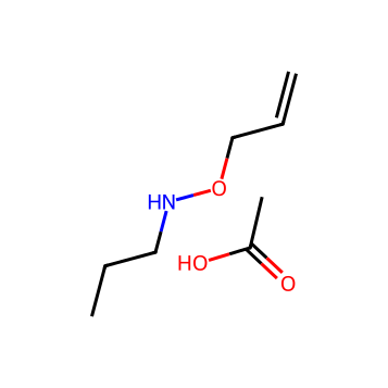 C=CCONCCC.CC(=O)O